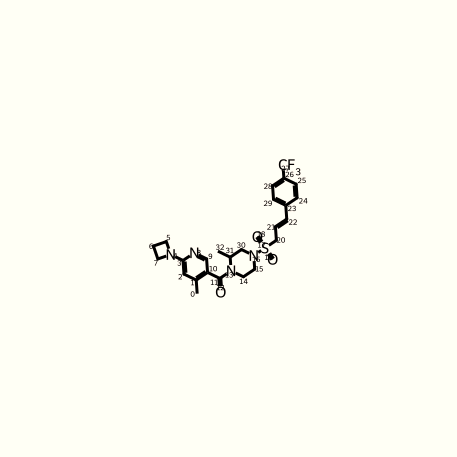 Cc1cc(N2CCC2)ncc1C(=O)N1CCN(S(=O)(=O)CC=Cc2ccc(C(F)(F)F)cc2)CC1C